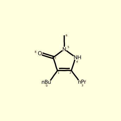 CCCCc1c(CCC)[nH]n(C)c1=O